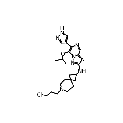 CC(C)Oc1c(-c2cn[nH]c2)ncc2nc(NC3CC4(CCN(CCCCl)CC4)C3)nn12